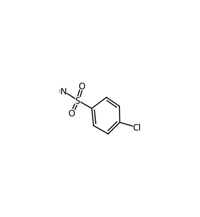 [N]S(=O)(=O)c1ccc(Cl)cc1